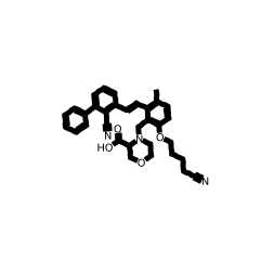 Cc1ccc(OCCCCC#N)c(CN2CCOCC2C(=O)O)c1/C=C/c1cccc(-c2ccccc2)c1C#N